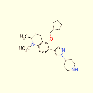 C[C@H]1CCc2c(ccc(-c3cnn(C4CCNCC4)c3)c2OCC2CCCC2)N1C(=O)O